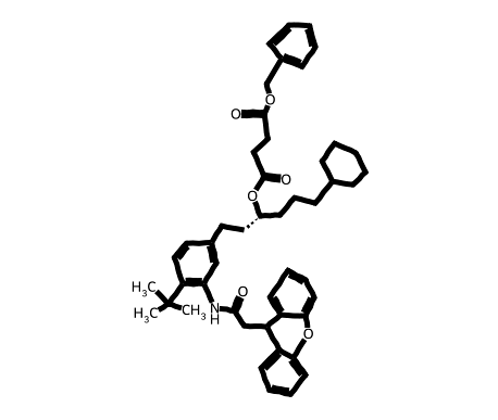 CC(C)(C)c1ccc(CC[C@@H](CCCC2CCCCC2)OC(=O)CCC(=O)OCc2ccccc2)cc1NC(=O)CC1c2ccccc2Oc2ccccc21